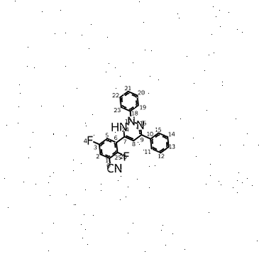 N#Cc1cc(F)cc(C2=CC(c3ccccc3)=NN(c3ccccc3)N2)c1F